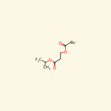 CCC(C)C(=O)OCCC(=O)OC(C)C(F)(F)F